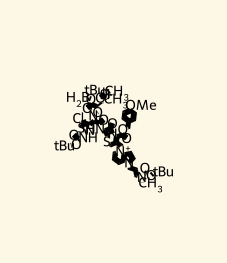 BOC(=O)[C@@H](CO[Si](C)(C)C(C)(C)C)O/N=C(\C(=O)NC1C(=O)N2C(C(=O)OCc3ccc(OC)cc3)=C(C[n+]3cccc4c3ccn4CCCN(C)C(=O)OC(C)(C)C)CSC12)c1nc(NC(=O)OC(C)(C)C)sc1Cl